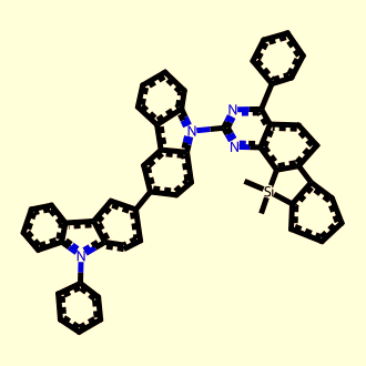 C[Si]1(C)c2ccccc2-c2ccc3c(-c4ccccc4)nc(-n4c5ccccc5c5cc(-c6ccc7c(c6)c6ccccc6n7-c6ccccc6)ccc54)nc3c21